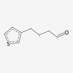 O=[C]C[CH]Cc1ccsc1